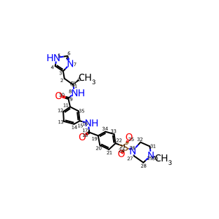 C[C@H](Cc1c[nH]cn1)NC(=O)c1cccc(NC(=O)c2ccc(S(=O)(=O)N3CCN(C)CC3)cc2)c1